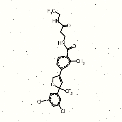 Cc1cc(C2=CC(c3cc(Cl)cc(Cl)c3)(C(F)(F)F)OC2)ccc1C(=O)NCCC(=O)NCC(F)(F)F